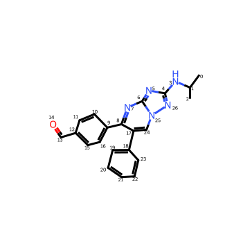 CC(C)Nc1nc2nc(-c3ccc(C=O)cc3)c(-c3ccccc3)cn2n1